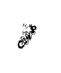 Bc1cccc(C(=O)Nc2nnc(S(=O)(=O)N3CCCCC3)s2)c1